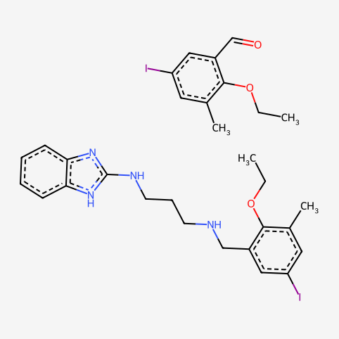 CCOc1c(C)cc(I)cc1C=O.CCOc1c(C)cc(I)cc1CNCCCNc1nc2ccccc2[nH]1